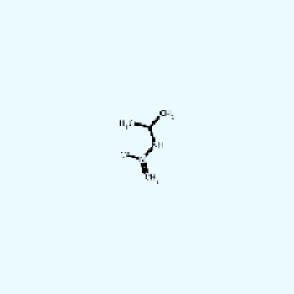 C=[N+]([O-])NC(C)C